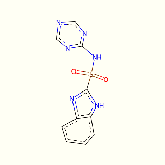 O=S(=O)(Nc1ncncn1)c1nc2ccccc2[nH]1